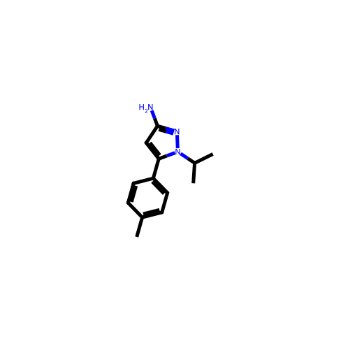 Cc1ccc(-c2cc(N)nn2C(C)C)cc1